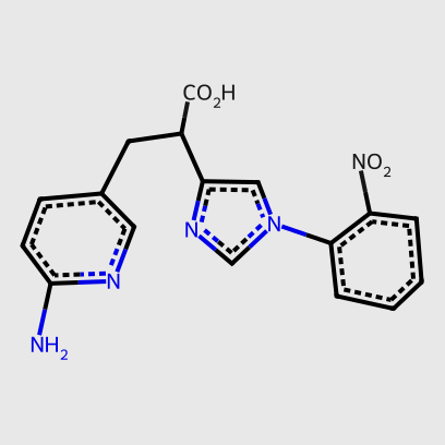 Nc1ccc(CC(C(=O)O)c2cn(-c3ccccc3[N+](=O)[O-])cn2)cn1